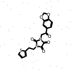 O=C(CN1C(=O)C(=O)N(CCc2cccs2)C1=O)c1ccc2c(c1)OCO2